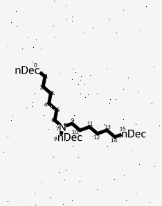 CCCCCCCCCCCCCCCCN(CCCCCCCCCC)CCCCCCCCCCCCCCCC